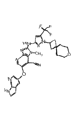 Cn1c(Nc2cc(C(F)(F)F)n(C3CC4(CCOCC4)C3)n2)nc2ncc(Oc3cnc4[nH]ccc4c3)c(C#N)c21